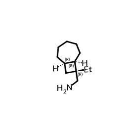 CC[C@@]1(CN)C[C@H]2CCCCC[C@H]21